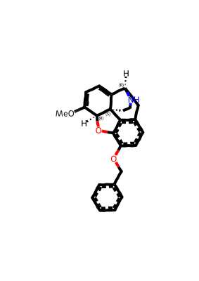 COC1=CC=C2[C@H]3Cc4ccc(OCc5ccccc5)c5c4[C@@]2(CCN3)[C@H]1O5